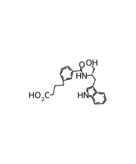 O=C(O)CCCc1cccc(C(=O)N[C@@H](CO)Cc2c[nH]c3ccccc23)c1